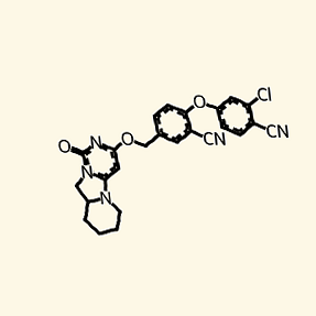 N#Cc1ccc(Oc2ccc(COc3cc4n(c(=O)n3)CC3CCCCN43)cc2C#N)cc1Cl